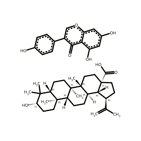 C=C(C)[C@@H]1CC[C@]2(C(=O)O)CC[C@]3(C)[C@H](CC[C@@H]4[C@@]5(C)CC[C@H](O)C(C)(C)[C@@H]5CC[C@]43C)[C@@H]12.O=c1c(-c2ccc(O)cc2)coc2cc(O)cc(O)c12